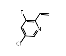 C=Cc1ncc(Cl)cc1F